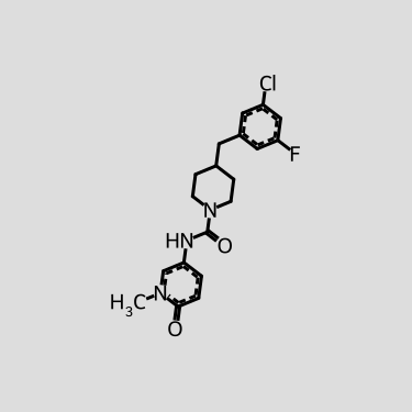 Cn1cc(NC(=O)N2CCC(Cc3cc(F)cc(Cl)c3)CC2)ccc1=O